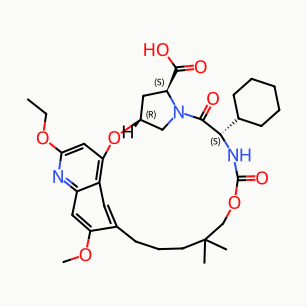 CCOc1cc2c3cc(c(OC)cc3n1)CCCC(C)(C)COC(=O)N[C@@H](C1CCCCC1)C(=O)N1C[C@@H](C[C@H]1C(=O)O)O2